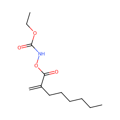 C=C(CCCCCC)C(=O)ONC(=O)OCC